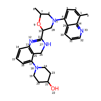 Cc1ccc(N2CC(C)OC(C3=Nc4cccc(N5CCC(O)CC5)c4CN3)C2)c2cccnc12